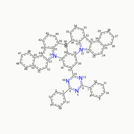 c1ccc(-c2nc(-c3ccccc3)nc(-c3cc4c5c(c3)-n3c6ccc7ccccc7c6c6cccc(c63)B5c3cccc5c6c7ccccc7ccc6n-4c35)n2)cc1